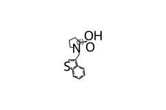 O=C(O)[C@@H]1CCCN1Cc1csc2ccccc12